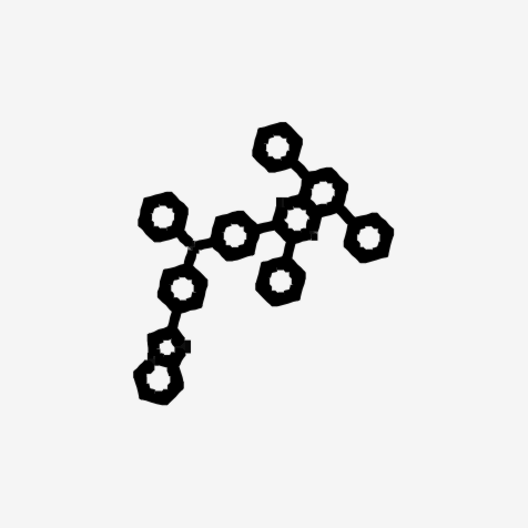 c1ccc(-c2nc3c(-c4ccccc4)ccc(-c4ccccc4)c3nc2-c2ccc(N(c3ccccc3)c3ccc(-c4cn5ccccc5n4)cc3)cc2)cc1